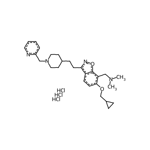 CN(C)Cc1c(OCC2CC2)ccc2c(CCC3CCN(Cc4ccccn4)CC3)noc12.Cl.Cl.Cl